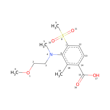 COCCN(C)c1c(S(C)(=O)=O)ccc(C(=O)O)c1C